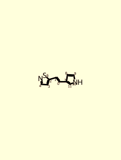 C(=C\c1ccns1)/c1cc[nH]c1